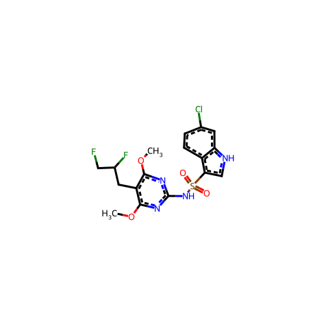 COc1nc(NS(=O)(=O)c2c[nH]c3cc(Cl)ccc23)nc(OC)c1CC(F)CF